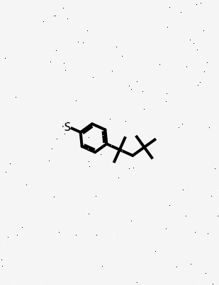 CC(C)(C)CC(C)(C)c1ccc([S])cc1